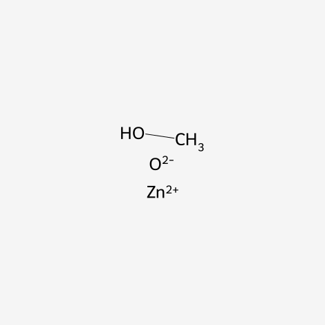 CO.[O-2].[Zn+2]